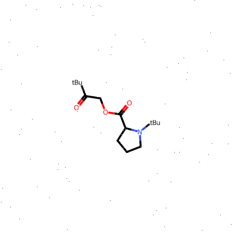 CC(C)(C)C(=O)COC(=O)C1CCCN1C(C)(C)C